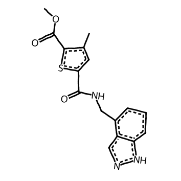 COC(=O)c1sc(C(=O)NCc2cccc3[nH]ncc23)cc1C